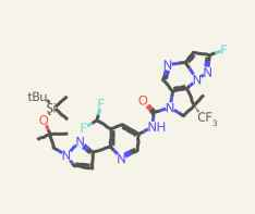 CC(C)(Cn1ccc(-c2ncc(NC(=O)N3C[C@@](C)(C(F)(F)F)c4c3cnc3cc(F)nn43)cc2C(F)F)n1)O[Si](C)(C)C(C)(C)C